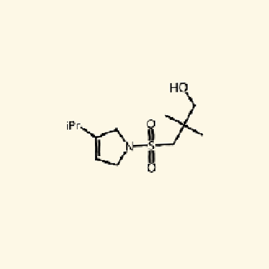 CC(C)C1=CCN(S(=O)(=O)CC(C)(C)CO)C1